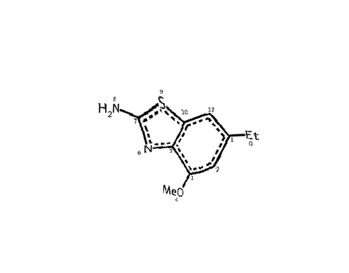 CCc1cc(OC)c2nc(N)sc2c1